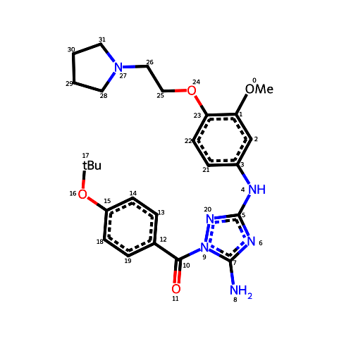 COc1cc(Nc2nc(N)n(C(=O)c3ccc(OC(C)(C)C)cc3)n2)ccc1OCCN1CCCC1